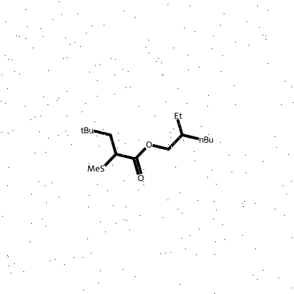 CCCCC(CC)COC(=O)C(CC(C)(C)C)SC